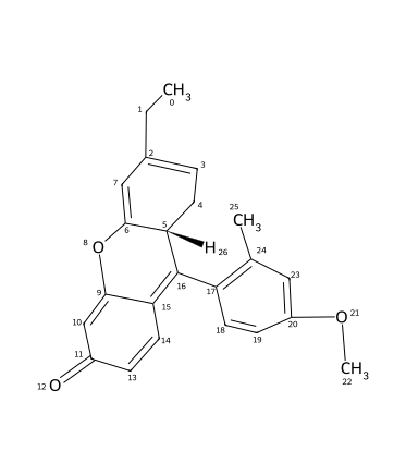 CCC1=CC[C@H]2C(=C1)OC1=CC(=O)C=CC1=C2c1ccc(OC)cc1C